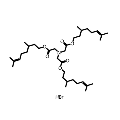 Br.CC(C)=CCCC(C)CCOC(=O)CN(CC(=O)OCCC(C)CCC=C(C)C)CC(=O)OCCC(C)CCC=C(C)C